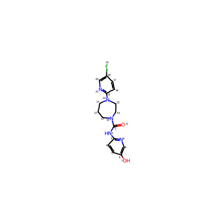 O=C(Nc1ccc(O)cn1)N1CCCN(c2ccc(F)cn2)CC1